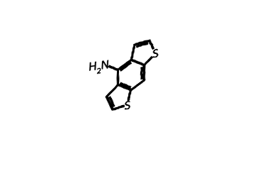 Nc1c2ccsc2cc2sccc12